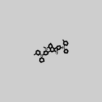 Cc1cccc(N(c2ccccc2)c2ccc3c(c2)N(C)c2cccc4c2c-3cc2c4c3ccc(N(c4ccccc4)c4cccc(C)c4)cc3n2C)c1